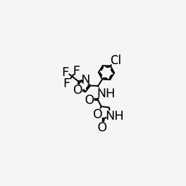 O=C1NCC(C(=O)N[C@@H](c2ccc(Cl)cc2)c2coc(C(F)(F)F)n2)O1